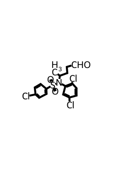 CC(CCC=O)N(c1cc(Cl)ccc1Cl)S(=O)(=O)c1ccc(Cl)cc1